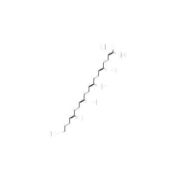 CC(C)=CCC/C(C)=C/CC/C(C)=C/CC/C(C)=C/CC/C(C)=C/CCCO